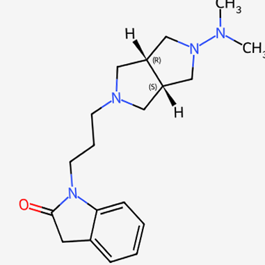 CN(C)N1C[C@H]2CN(CCCN3C(=O)Cc4ccccc43)C[C@H]2C1